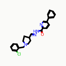 O=C(N/N=C/C1CCN(Cc2ccccc2Cl)CC1)c1ccc(-c2ccccc2)cn1